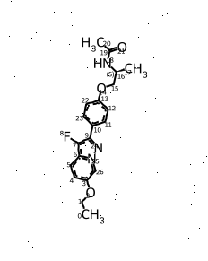 CCOc1ccc2c(F)c(-c3ccc(OC[C@H](C)NC(C)=O)cc3)nn2c1